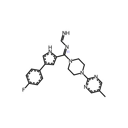 Cc1cnc(N2CCN(/C(=N/C=N)c3cc(-c4ccc(F)cc4)c[nH]3)CC2)nc1